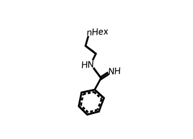 CCCCCCCCNC(=N)c1ccccc1